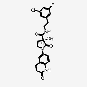 O=C1CCc2cc(N3CC[C@@](O)(C(=O)NCCc4cc(F)cc(Cl)c4)C3=O)ccc2N1